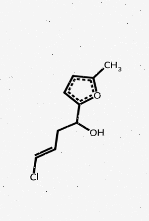 Cc1ccc(C(O)CC=CCl)o1